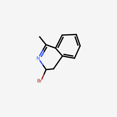 CC1=NC(Br)Cc2ccccc21